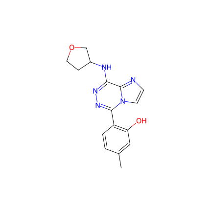 Cc1ccc(-c2nnc(NC3CCOC3)c3nccn23)c(O)c1